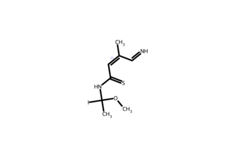 COC(C)(I)NC(=S)/C=C(/C)C=N